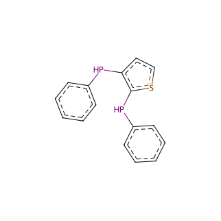 c1ccc(Pc2ccsc2Pc2ccccc2)cc1